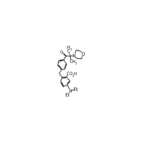 CCN(CC)c1ccc(Sc2ccc(C(=O)C(C)(C)N3CCOCC3)cc2)c(C(=O)O)c1